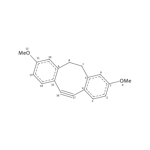 COc1ccc2c(c1)CCc1cc(OC)ccc1C#C2